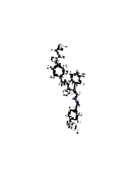 O=C1C(=C/C=C/c2ccc([N+](=O)[O-])cc2)c2ccccc2N1Cc1ccc(OCCBr)cc1